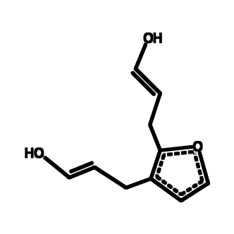 OC=CCc1ccoc1CC=CO